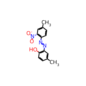 Cc1ccc(O)c(/N=N/c2ccc(C)cc2[N+](=O)[O-])c1